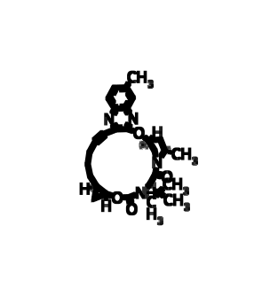 Cc1ccc2nc3c(nc2c1)O[C@@H]1C[C@@H](C)N(C1)C(=O)[C@H](C(C)(C)C)NC(=O)O[C@@H]1C[C@H]1CCCC#C3